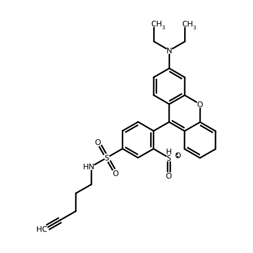 C#CCCCNS(=O)(=O)c1ccc(C2=C3C=CCC=C3Oc3cc(N(CC)CC)ccc32)c([SH](=O)=O)c1